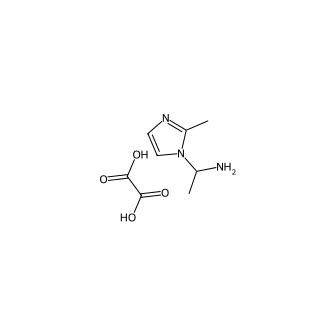 Cc1nccn1C(C)N.O=C(O)C(=O)O